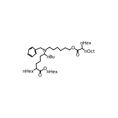 CCCCCCCCC(CCCCCC)C(=O)OCCCCCCN(Cc1ccccc1)C(CCCC)CCCC(CCCCCC)C(=O)OCCCCCC